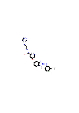 Cn1c(Nc2ccc(Cl)c(C(F)(F)F)c2)nc2cc(Oc3ccnc(C(=O)NCCCn4ccnc4)c3)ccc21